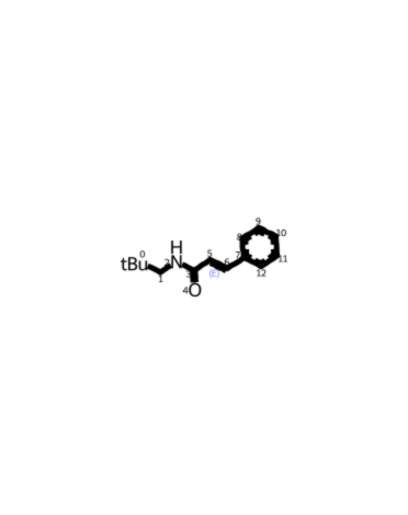 CC(C)(C)CNC(=O)/C=C/c1ccccc1